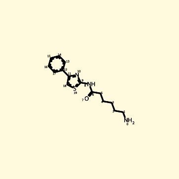 NCCCCCC(=O)Nc1nc(-c2ccccc2)cs1